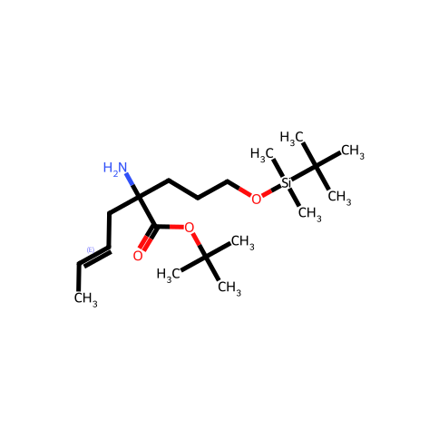 C/C=C/CC(N)(CCCO[Si](C)(C)C(C)(C)C)C(=O)OC(C)(C)C